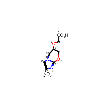 O=C(O)CO[C@@H]1COc2nc([N+](=O)[O-])cn2C1